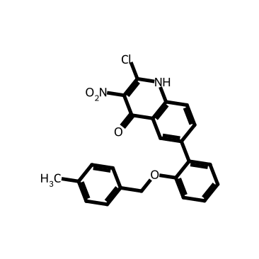 Cc1ccc(COc2ccccc2-c2ccc3[nH]c(Cl)c([N+](=O)[O-])c(=O)c3c2)cc1